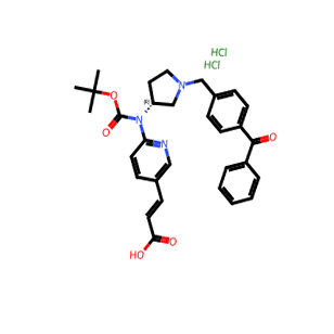 CC(C)(C)OC(=O)N(c1ccc(C=CC(=O)O)cn1)[C@@H]1CCN(Cc2ccc(C(=O)c3ccccc3)cc2)C1.Cl.Cl